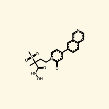 CC(CCn1ccc(-c2ccc3ccncc3c2)cc1=O)(C(=O)NO)S(C)(=O)=O